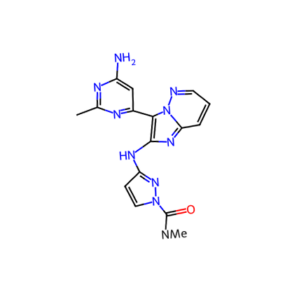 CNC(=O)n1ccc(Nc2nc3cccnn3c2-c2cc(N)nc(C)n2)n1